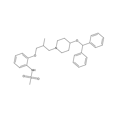 CC(COc1ccccc1NS(C)(=O)=O)CN1CCC(OC(c2ccccc2)c2ccccc2)CC1